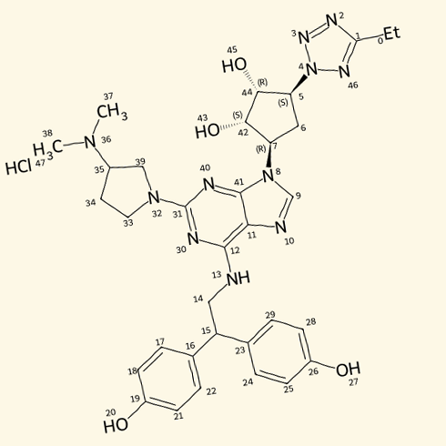 CCc1nnn([C@H]2C[C@@H](n3cnc4c(NCC(c5ccc(O)cc5)c5ccc(O)cc5)nc(N5CCC(N(C)C)C5)nc43)[C@H](O)[C@@H]2O)n1.Cl